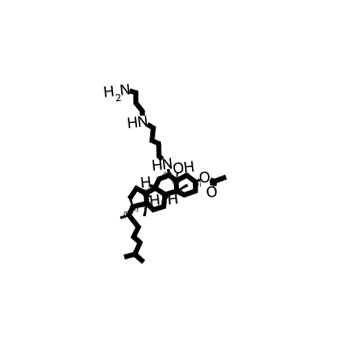 CC(=O)O[C@H]1CC[C@]2(C)[C@H]3CC[C@]4(C)[C@@H]([C@H](C)CCCC(C)C)CC[C@H]4[C@@H]3C[C@@H](NCCCCNCCCN)[C@@]2(O)C1